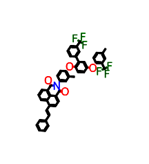 Cc1ccc(Oc2ccc(Oc3ccc(N4C(=O)c5cccc6c(C=Cc7ccccc7)ccc(c56)C4=O)cc3C)c(-c3cccc(C(F)(F)F)c3)c2)c(C(F)(F)F)c1